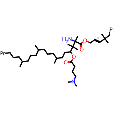 CC(C)CCCC(C)CCCC(C)CCCC(C)CCC(OC(=O)CCCN(C)C)C(C)(C)C(C)(N)C(=O)OC/C=C/C(C)(C)CC(C)C